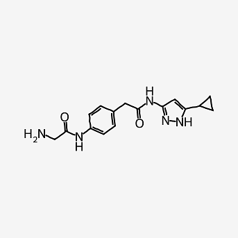 NCC(=O)Nc1ccc(CC(=O)Nc2cc(C3CC3)[nH]n2)cc1